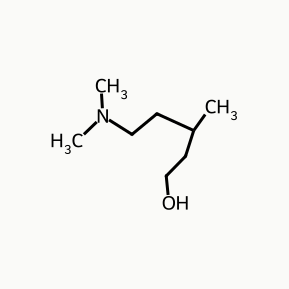 CC(CCO)CCN(C)C